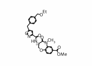 CCOCc1ccc(Cc2cc(C(=O)N[C@H]3COc4ccc(C(=O)OC)cc4N(C)C3=O)no2)cc1